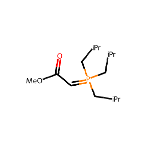 COC(=O)C=P(CC(C)C)(CC(C)C)CC(C)C